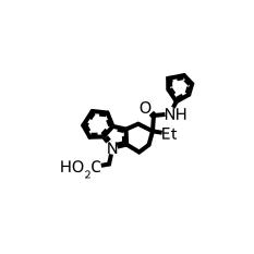 CCC1(C(=O)Nc2ccccc2)CCc2c(c3ccccc3n2CC(=O)O)C1